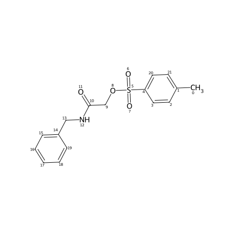 Cc1ccc(S(=O)(=O)OCC(=O)NCc2ccccc2)cc1